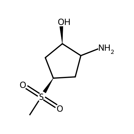 CS(=O)(=O)[C@@H]1CC(N)[C@H](O)C1